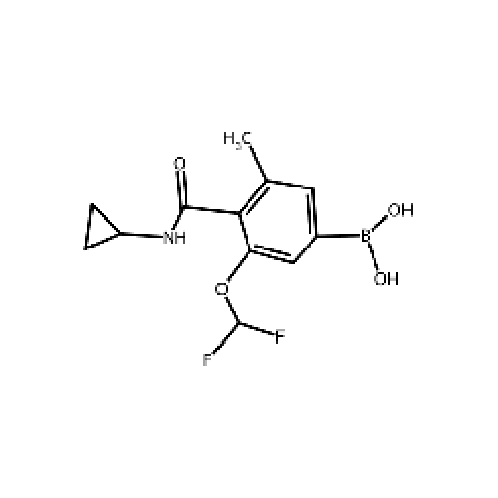 Cc1cc(B(O)O)cc(OC(F)F)c1C(=O)NC1CC1